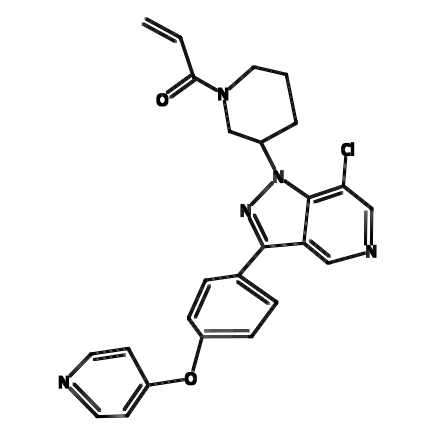 C=CC(=O)N1CCCC(n2nc(-c3ccc(Oc4ccncc4)cc3)c3cncc(Cl)c32)C1